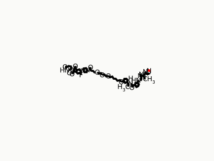 CC(NC(=O)c1cccc(NCc2nnc(-c3ccncn3)n2C)c1)c1cccc(OCCCCCCOCCOCCOCCCC(=O)N2CCN(c3cc4c(cc3F)C(=O)N(C3CCC(=O)NC3=O)C4=O)CC2)c1